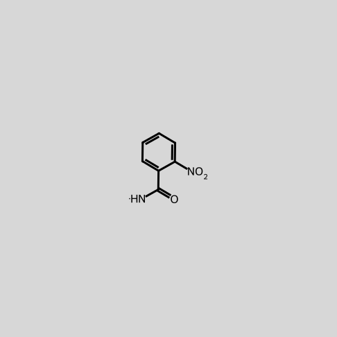 [NH]C(=O)c1ccccc1[N+](=O)[O-]